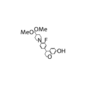 COC(OC)C1CCN(c2ccc(C3CCOc4cc(O)ccc43)cc2F)CC1